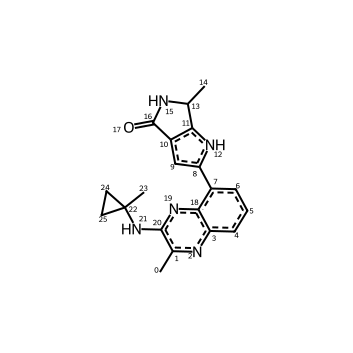 Cc1nc2cccc(-c3cc4c([nH]3)C(C)NC4=O)c2nc1NC1(C)CC1